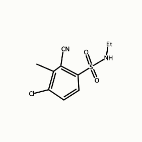 CCNS(=O)(=O)c1ccc(Cl)c(C)c1C#N